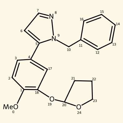 COc1ccc(-c2c[c]nn2Cc2ccccc2)cc1OC1CCCO1